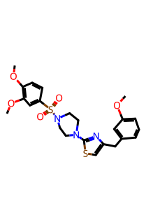 COc1cccc(Cc2csc(N3CCN(S(=O)(=O)c4ccc(OC)c(OC)c4)CC3)n2)c1